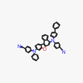 N#Cc1ccc(N(c2ccccc2)c2ccc3c(c2)oc2cc(N(c4ccc(C#N)cc4)c4ccc(-c5ccccc5)cc4)c4ccccc4c23)cc1